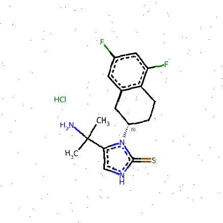 CC(C)(N)c1c[nH]c(=S)n1[C@H]1CCc2c(F)cc(F)cc2C1.Cl